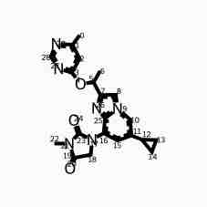 Cc1cc(OC(C)c2cn3cc(C4CC4)cc(N4CC(=O)N(C)C4=O)c3n2)ncn1